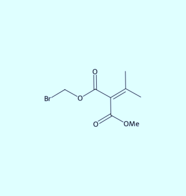 COC(=O)C(C(=O)OCBr)=C(C)C